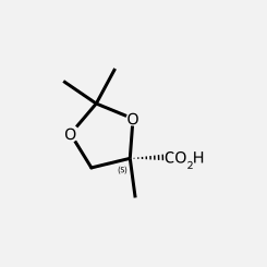 CC1(C)OC[C@@](C)(C(=O)O)O1